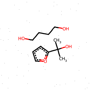 CC(C)(O)c1ccco1.OCCCCO